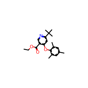 CCOC(=O)c1cnc(C(C)(C)C)cc1Oc1c(C)cc(C)cc1C